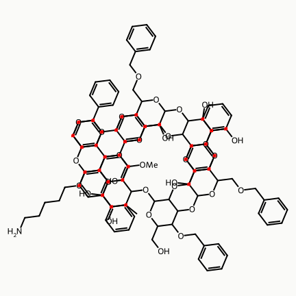 COC(OC1C2OC(c3ccccc3)OCC2OC(OCCCCCN)C1OCc1ccccc1)C(O)C(OC1OC(CO)C(OCc2ccccc2)C(OC2OC(COCc3ccccc3)C(OCc3ccccc3)C(OC3OC(CO)C(O)C(OC4OC(COCc5ccccc5)C(OCc5ccccc5)C(OCc5ccc6ccccc6c5)C4O)C3OCc3ccccc3)C2O)C1OCc1ccccc1)C(C)[C@H](O)CO